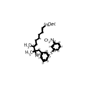 CCCCCCCCCCCCCCCCC(C)C(C)(N)Cc1ccccc1.O=[N+]([O-])c1cccc(S(=O)(=O)O)c1